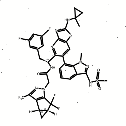 Cn1nc(NS(C)(=O)=O)c2cccc(-c3cc4sc(NC5(C)CC5)nc4nc3[C@H](Cc3cc(F)cc(F)c3)NC(=O)Cn3nc(C(F)(F)F)c4c3C(F)(F)[C@@H]3C[C@H]43)c21